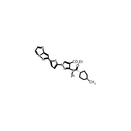 CCOC(=O)c1cn(-c2ccc(-c3cc4ncccn4n3)s2)nc1N(C(=O)[C@H]1CC[C@H](C)CC1)C(C)C